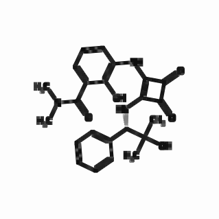 CN(C)C(=O)c1cccc(Nc2c(N[C@@H](c3ccccc3)C(C)(C)O)c(=O)c2=O)c1O